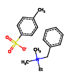 CC[N+](C)(C)Cc1ccccc1.Cc1ccc(S(=O)(=O)[O-])cc1